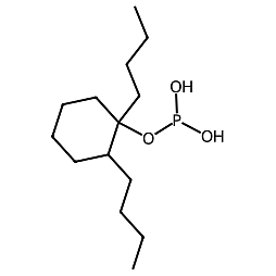 CCCCC1CCCCC1(CCCC)OP(O)O